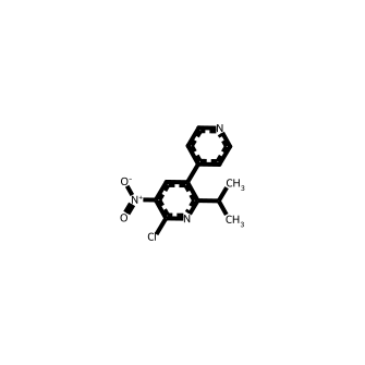 CC(C)c1nc(Cl)c([N+](=O)[O-])cc1-c1ccncc1